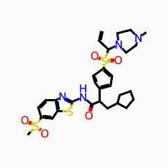 C=CC(N1CCN(C)CC1)S(=O)(=O)c1ccc(C(CC2CCCC2)C(=O)Nc2nc3ccc(S(C)(=O)=O)cc3s2)cc1